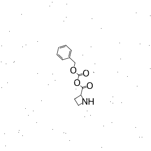 O=C(OCc1ccccc1)OC(=O)C1CCN1